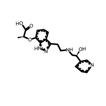 C[C@H](Oc1cccc2c(CCNC[C@@H](O)c3cccnc3)n[nH]c12)C(=O)O